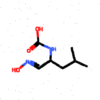 CC(C)CC(C=NO)NC(=O)O